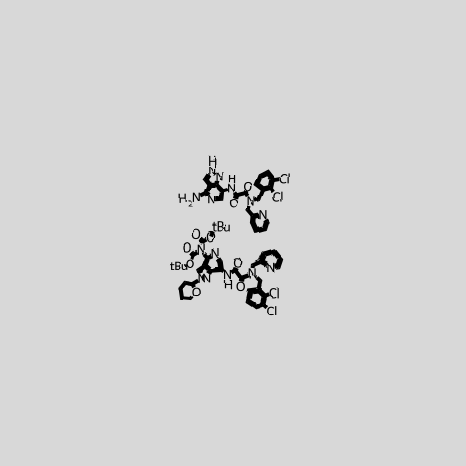 CC(C)(C)OC(=O)N(C(=O)OC(C)(C)C)c1ncc(NC(=O)C(=O)N(Cc2ccccn2)Cc2cccc(Cl)c2Cl)c2nn(C3CCCCO3)cc12.Nc1ncc(NC(=O)C(=O)N(Cc2ccccn2)Cc2cccc(Cl)c2Cl)c2n[nH]cc12